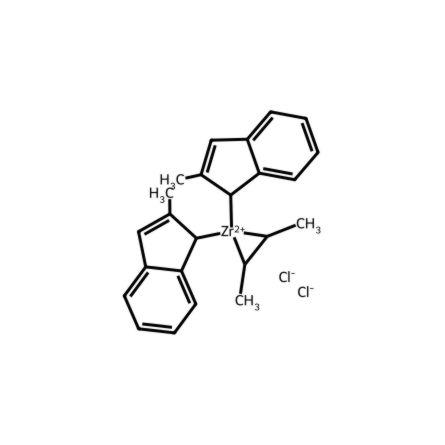 CC1=Cc2ccccc2[CH]1[Zr+2]1([CH]2C(C)=Cc3ccccc32)[CH](C)[CH]1C.[Cl-].[Cl-]